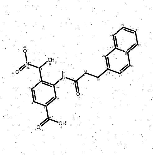 CC(c1ccc(C(=O)O)cc1NC(=O)CCc1ccc2ccccc2c1)[N+](=O)[O-]